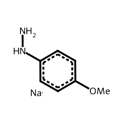 COc1ccc(NN)cc1.[Na]